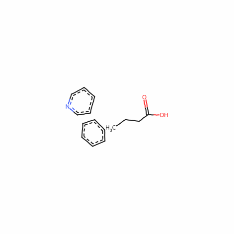 CCCC(=O)O.c1ccccc1.c1ccncc1